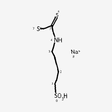 O=S(=O)(O)CCCNC(=S)[S-].[Na+]